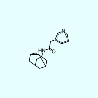 O=C(Cc1cccnc1)NC12CC3CC(CC(C3)C1)C2